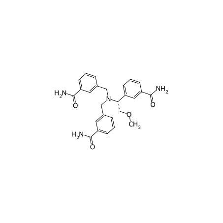 COC[C@@H](c1cccc(C(N)=O)c1)N(Cc1cccc(C(N)=O)c1)Cc1cccc(C(N)=O)c1